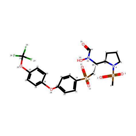 CS(=O)(=O)N1CCC[C@@H]1[C@H](CS(=O)(=O)c1ccc(Oc2ccc(OC(F)(F)F)cc2)cc1)N(O)C=O